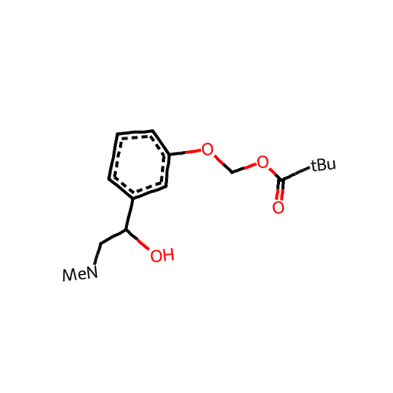 CNCC(O)c1cccc(OCOC(=O)C(C)(C)C)c1